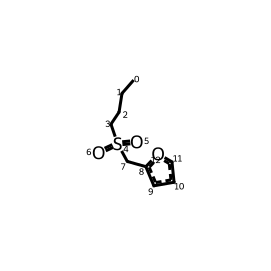 CCCCS(=O)(=O)Cc1ccco1